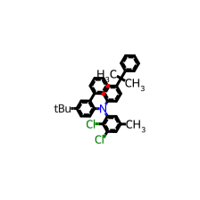 Cc1cc(Cl)c(Cl)c(N(c2ccc(C(C)(C)c3ccccc3)cc2)c2ccc(C(C)(C)C)cc2-c2ccccc2)c1